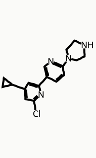 Clc1cc(C2CC2)cc(-c2ccc(N3CCNCC3)nc2)n1